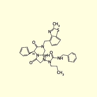 CCCN(C(=O)NCc1ccccc1)N1CC(=O)N2[C@@H](c3ccccc3)C(=O)N(Cc3cccc4sc(C)nc34)C[C@@H]21